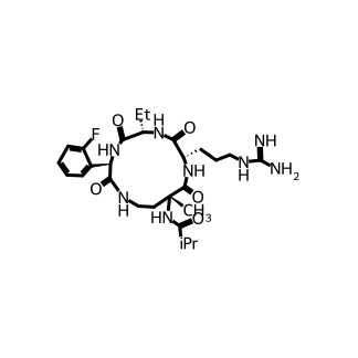 CC[C@@H]1NC(=O)[C@H](CCCNC(=N)N)NC(=O)[C@](C)(NC(=O)C(C)C)CCNC(=O)[C@@H](c2ccccc2F)NC1=O